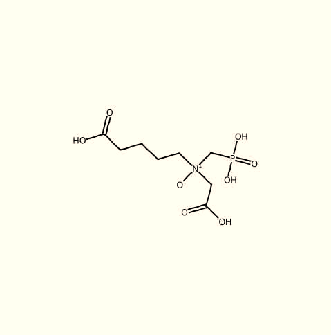 O=C(O)CCCC[N+]([O-])(CC(=O)O)CP(=O)(O)O